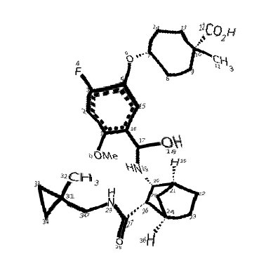 COc1cc(F)c(O[C@H]2CC[C@@](C)(C(=O)O)CC2)cc1C(O)N[C@@H]1[C@H]2CC[C@H](C2)[C@@H]1C(=O)NCC1(C)CC1